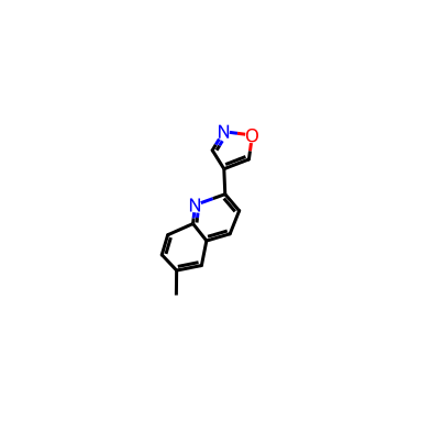 Cc1ccc2nc(-c3cnoc3)ccc2c1